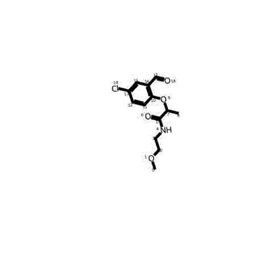 COCCNC(=O)C(C)Oc1ccc(Cl)cc1C=O